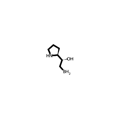 BC[C@@H](O)[C@@H]1CCCN1